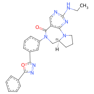 CCNc1ncc2c(n1)N1CCC[C@H]1CN(c1cccc(-c3nnc(-c4ccccc4)o3)c1)C2=O